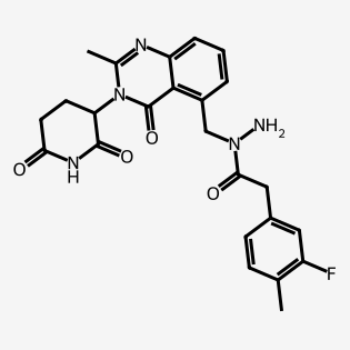 Cc1ccc(CC(=O)N(N)Cc2cccc3nc(C)n(C4CCC(=O)NC4=O)c(=O)c23)cc1F